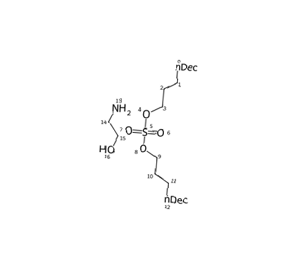 CCCCCCCCCCCCCOS(=O)(=O)OCCCCCCCCCCCCC.NCCO